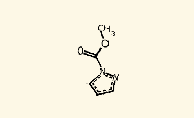 COC(=O)n1[c]ccn1